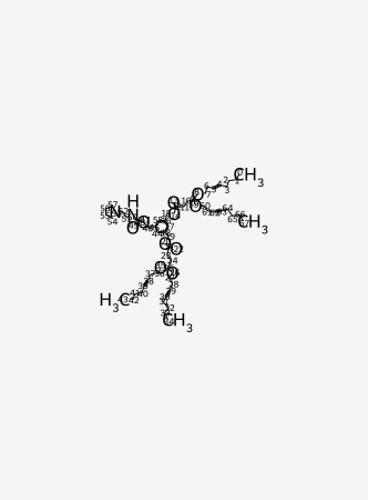 CCCCC#CCCOC(CCC(=O)OCc1cc(COC(=O)CCC(OCCC#CCCCC)OCCC#CCCCC)cc(COC(=O)NCCN2CCCC2)c1)OCCC#CCCCC